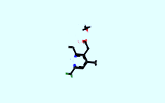 CC(C)c1cc(C(F)F)nc(C(C)C)c1CC(=O)OC(C)(C)C